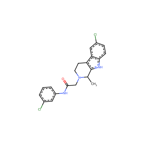 CC1c2[nH]c3ccc(Cl)cc3c2CCN1CC(=O)Nc1cccc(Cl)c1